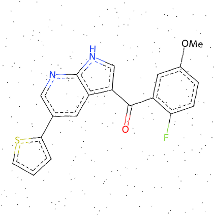 COc1ccc(F)c(C(=O)c2c[nH]c3ncc(-c4cccs4)cc23)c1